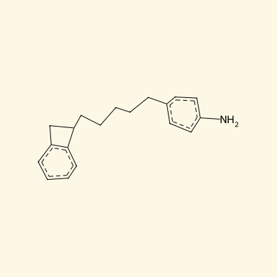 Nc1ccc(CCCCCC2Cc3ccccc32)cc1